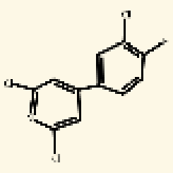 Fc1ccc(-c2cc(Cl)nc(Cl)c2)cc1Cl